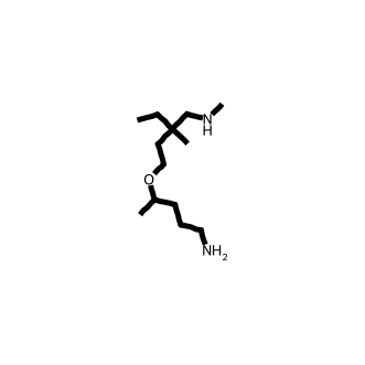 CCC(C)(CCOC(C)CCCN)CNC